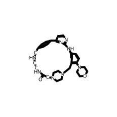 O=C1CN2CCN(CC2)Cc2cc(ccc2N2CCOCC2)Nc2nccc(n2)-c2ccc(cc2)CNCCN1